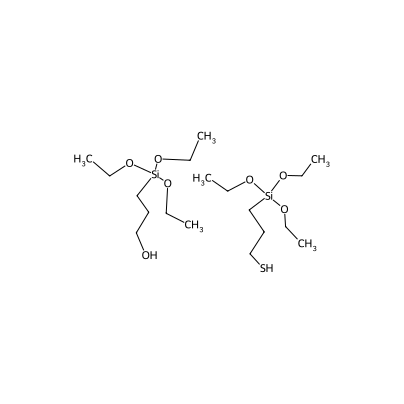 CCO[Si](CCCO)(OCC)OCC.CCO[Si](CCCS)(OCC)OCC